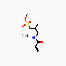 C=CC(=O)NCC(C)CS(=O)(=O)OC.[CaH2]